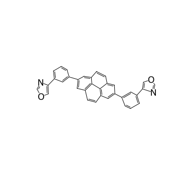 c1cc(-c2cc3ccc4cc(-c5cccc(-c6cocn6)c5)cc5ccc(c2)c3c45)cc(-c2cocn2)c1